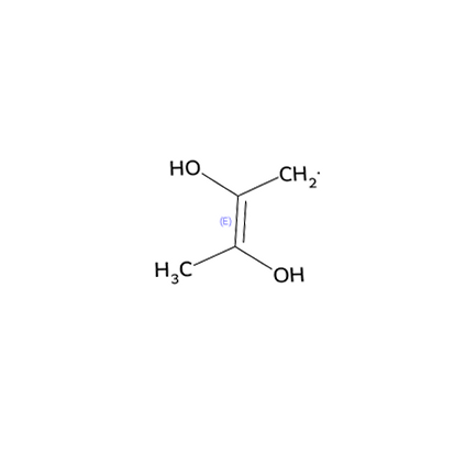 [CH2]/C(O)=C(/C)O